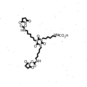 O=C(O)NCCCCCCn1c(=O)n(CCCCCCNC(=O)ON2C(=O)CCC2=O)c(=O)n(CCCCCCNC(=O)ON2C(=O)CCC2=O)c1=O